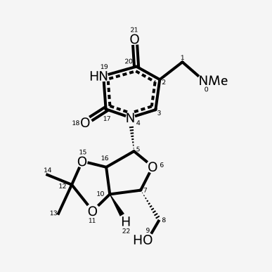 CNCc1cn([C@@H]2O[C@H](CO)[C@@H]3OC(C)(C)OC32)c(=O)[nH]c1=O